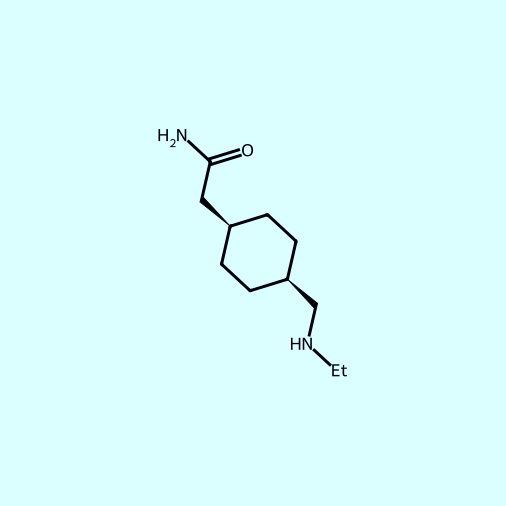 CCNC[C@H]1CC[C@@H](CC(N)=O)CC1